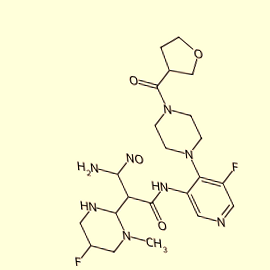 CN1CC(F)CNC1C(C(=O)Nc1cncc(F)c1N1CCN(C(=O)C2CCOC2)CC1)C(N)N=O